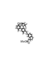 COC(=O)C[C@@]1(C)CCc2ccc(OCc3cc([C@H]4CCCC4(C)C)c(-c4cc(OC)ncc4F)cc3F)cc21